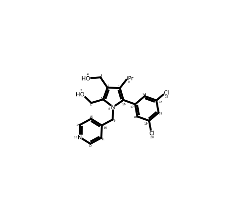 CC(C)c1c(CO)c(CO)n(Cc2ccncc2)c1-c1cc(Cl)cc(Cl)c1